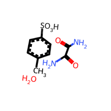 Cc1ccc(S(=O)(=O)O)cc1.NC(=O)C(N)=O.O